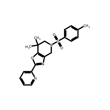 Cc1ccc(S(=O)(=O)N2Cc3nc(-c4ccccn4)oc3C(C)(C)C2)cc1